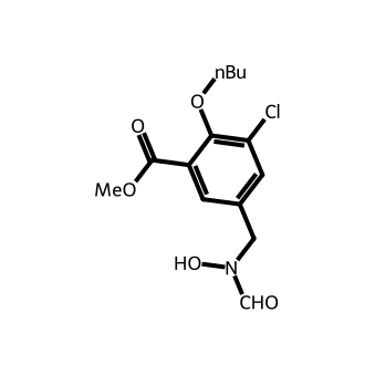 CCCCOc1c(Cl)cc(CN(O)C=O)cc1C(=O)OC